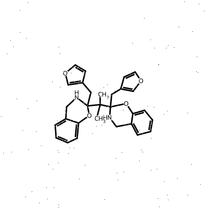 CC(C)(C1(Cc2ccoc2)NCc2ccccc2O1)C1(Cc2ccoc2)NCc2ccccc2O1